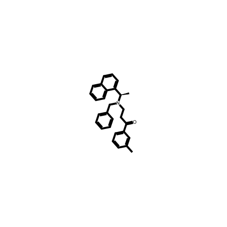 Cc1cccc(C(=O)CCN(Cc2ccccc2)[C@H](C)c2cccc3ccccc23)c1